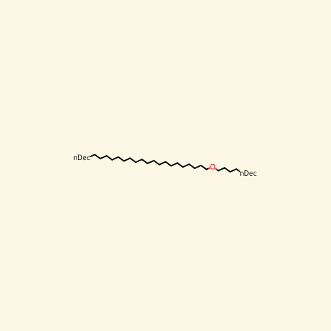 CCCCCCCCCCCCCCCCCCCCCCCCCCCCCCOCCCCCCCCCCCCCC